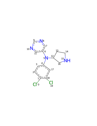 Clc1ccc(N(c2cncnc2)C2CCNC2)cc1Cl